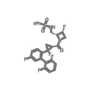 CCCS(=O)(=O)NC[C@@H]1[C@H](F)CN1C(=O)[C@@H]1C[C@@]1(F)c1ccc(F)cc1-c1c(F)cccc1F